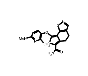 CNc1ccc(Oc2sc(C(N)=O)c3c2-c2sncc2CC3)c(C)n1